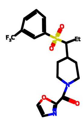 CCC(C1CCN(C(=O)c2ncco2)CC1)S(=O)(=O)c1cccc(C(F)(F)F)c1